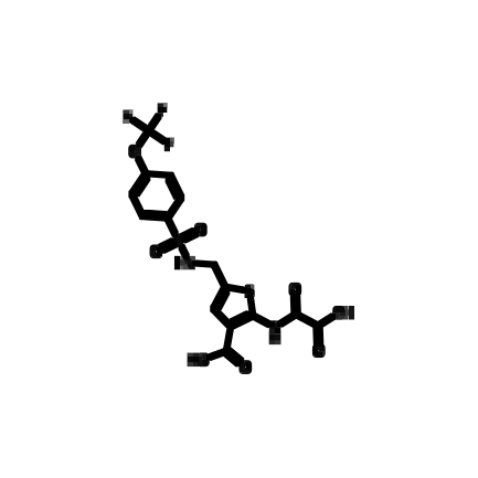 O=C(O)C(=O)Nc1sc(CNS(=O)(=O)c2ccc(OC(F)(F)F)cc2)cc1C(=O)O